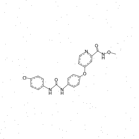 CONC(=O)c1cc(Oc2ccc(NC(=O)Nc3ccc(Cl)cc3)cc2)ccn1